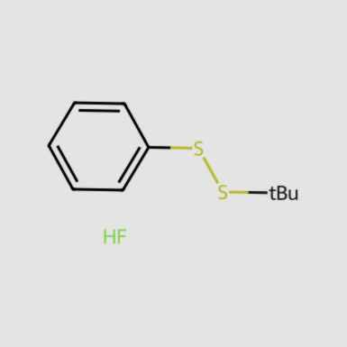 CC(C)(C)SSc1ccccc1.F